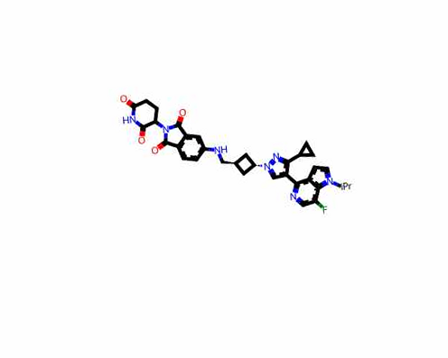 CC(C)n1ccc2c(-c3cn([C@H]4C[C@H](CNc5ccc6c(c5)C(=O)N(C5CCC(=O)NC5=O)C6=O)C4)nc3C3CC3)ncc(F)c21